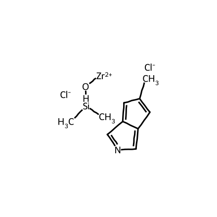 CC1=CC2=CN=CC2=C1.C[SiH](C)[O][Zr+2].[Cl-].[Cl-]